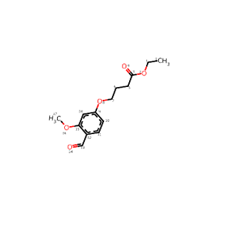 CCOC(=O)CCCOc1ccc(C=O)c(OC)c1